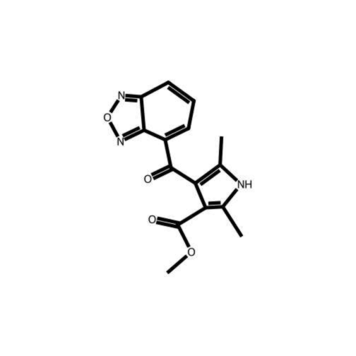 COC(=O)c1c(C)[nH]c(C)c1C(=O)c1cccc2nonc12